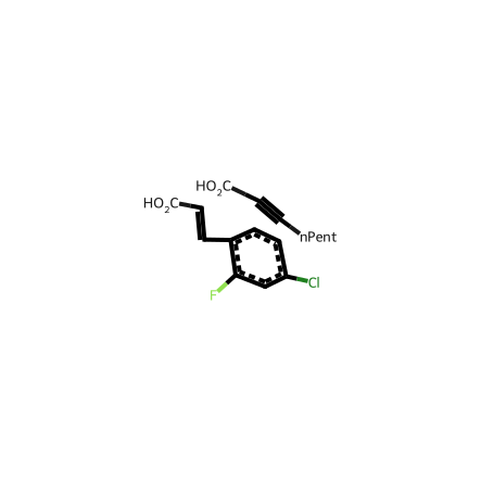 CCCCCC#CC(=O)O.O=C(O)C=Cc1ccc(Cl)cc1F